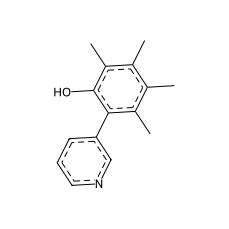 Cc1c(C)c(C)c(-c2cccnc2)c(O)c1C